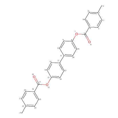 Cc1ccc(C(=O)Oc2ccc(-c3ccc(OC(=O)c4ccc(C)cc4)cc3)cc2)cc1